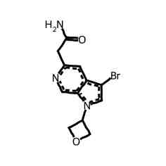 NC(=O)Cc1cc2c(Br)cn(C3COC3)c2cn1